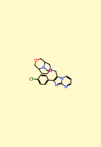 O=CN1C2CCN(Cc3c(-c4ccc(Cl)cc4)nc4ncccn34)CC1COC2